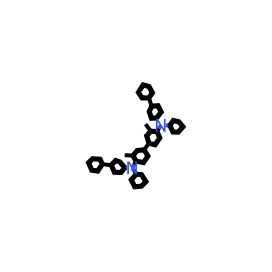 Cc1cc(-c2ccc(N(c3ccccc3)c3ccc(-c4ccccc4)cc3)c(C)c2)ccc1N(c1ccccc1)c1ccc(-c2ccccc2)cc1